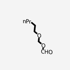 CCCCCOCOC=O